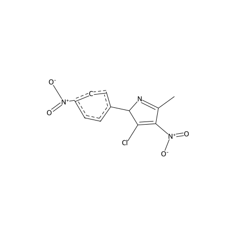 CC1=NC(c2ccc([N+](=O)[O-])cc2)C(Cl)=C1[N+](=O)[O-]